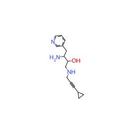 NC(Cc1cccnc1)C(O)CNCC#CC1CC1